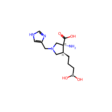 N[C@@]1(C(=O)O)CN(Cc2c[nH]cn2)C[C@@H]1CCCB(O)O